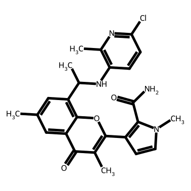 Cc1cc(C(C)Nc2ccc(Cl)nc2C)c2oc(-c3ccn(C)c3C(N)=O)c(C)c(=O)c2c1